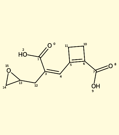 O=C(O)C(=CC1=C(C(=O)O)CC1)CC1CO1